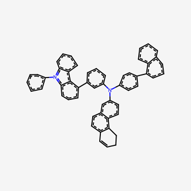 C1=Cc2ccc3cc(N(c4ccc(-c5cccc6ccccc56)cc4)c4cccc(-c5cccc6c5c5ccccc5n6-c5ccccc5)c4)ccc3c2CC1